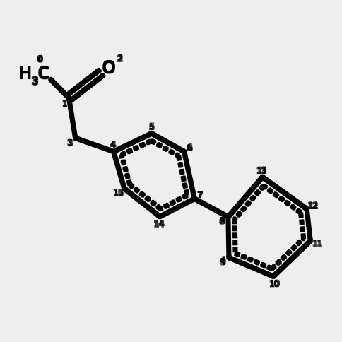 CC(=O)Cc1ccc(-c2[c]cccc2)cc1